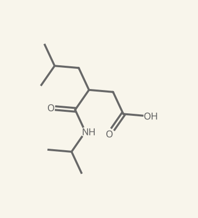 CC(C)CC(CC(=O)O)C(=O)NC(C)C